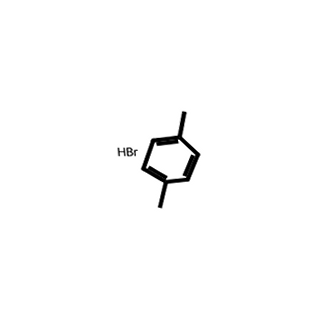 Br.Cc1ccc(C)cc1